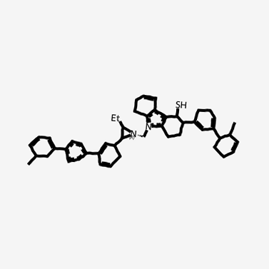 CCC1C(C2C=C(c3ccc(C4=CC=CC(C)C4)cc3)C=CC2)[N@@]1Cn1c2c(c3c1CCC(C1=CC(C4CCC=CC4C)=CCC1)C3S)C=CCC2